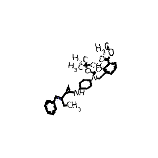 CC/C(=C\c1ccccc1)C1CC1NC1CCC(N(Cc2cccc(C(=O)OC)c2)C(=O)OC(C)(C)C)CC1